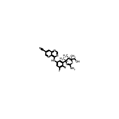 C[C@@H]1[C@@](C)(CO)SC(N)=N[C@]1(C)c1cc(Nc2ncnc3cc(C#N)cnc23)cc(F)c1F